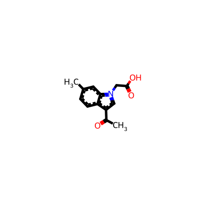 CC(=O)c1cn(CC(=O)O)c2cc(C)ccc12